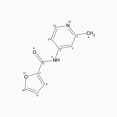 Cc1cc(NC(=O)c2ccco2)ccn1